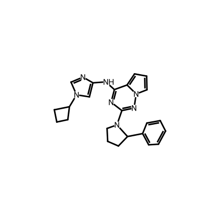 c1ccc(C2CCCN2c2nc(Nc3cn(C4CCC4)cn3)c3cccn3n2)cc1